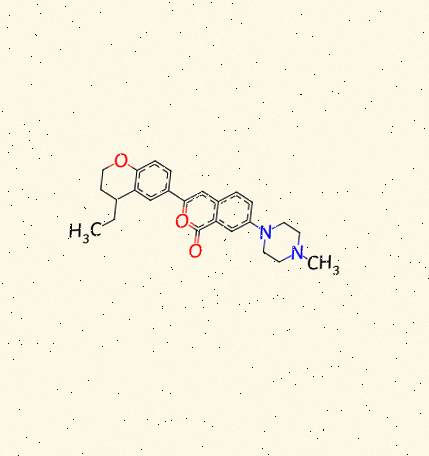 CCC1CCOc2ccc(-c3cc4ccc(N5CCN(C)CC5)cc4c(=O)o3)cc21